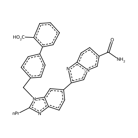 CCCc1nc2ccc(-c3cn4cc(C(N)=O)ccc4n3)cc2n1Cc1ccc(-c2ccccc2C(=O)O)cc1